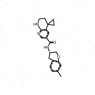 Cc1ccc2c(c1)OC[C@H](NC(=O)c1cnc3c(c1)C1(CCN3)CC1)C2